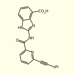 CCCC#Cc1cccc(C(=O)Nc2nc3c(C(=O)O)cccc3[nH]2)n1